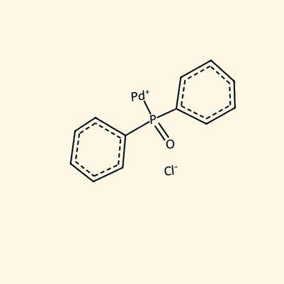 O=[P]([Pd+])(c1ccccc1)c1ccccc1.[Cl-]